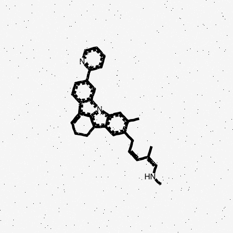 CN/C=C(C)\C=C/Cc1cc2c3c4c(c5ccc(-c6ccccn6)cc5n4c2cc1C)=CCC3